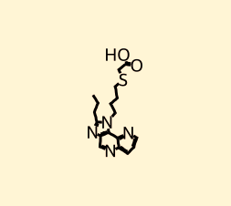 CCCc1nc2cnc3cccnc3c2n1CCCCSCC(=O)O